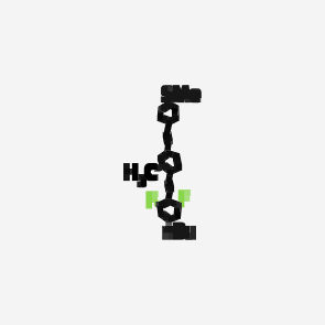 CCCCc1cc(F)c(C#Cc2ccc(C#Cc3ccc(SC)cc3)cc2C)c(F)c1